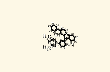 Cc1nc(C)nc(-c2ccc(C#N)c(-n3c4ccccc4c4ccc(-c5ccccc5C#N)cc43)c2)n1